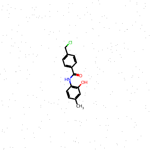 Cc1ccc(NC(=O)c2ccc(CCl)cc2)c(O)c1